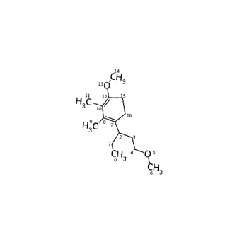 CCC(CCOC)C1=C(C)C(C)=C(OC)CC1